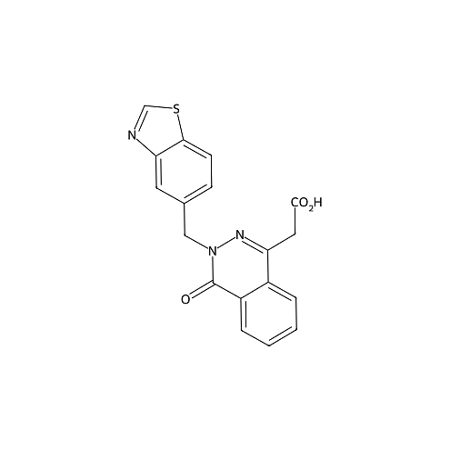 O=C(O)Cc1nn(Cc2ccc3scnc3c2)c(=O)c2ccccc12